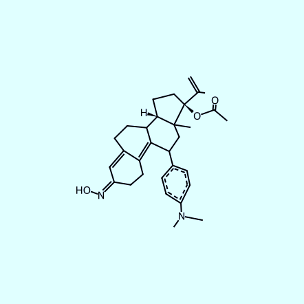 C=C(C)[C@@]1(OC(C)=O)CC[C@H]2C3CCC4=C/C(=N\O)CCC4=C3C(c3ccc(N(C)C)cc3)CC21C